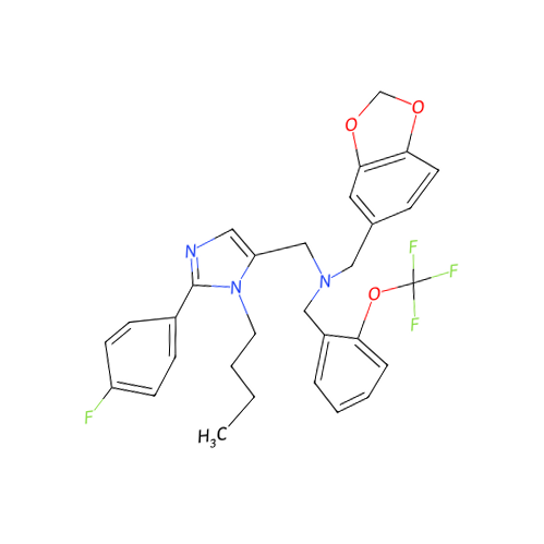 CCCCn1c(CN(Cc2ccc3c(c2)OCO3)Cc2ccccc2OC(F)(F)F)cnc1-c1ccc(F)cc1